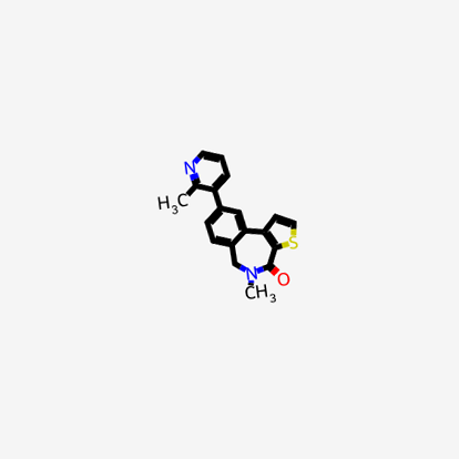 Cc1ncccc1-c1ccc2c(c1)-c1ccsc1C(=O)N(C)C2